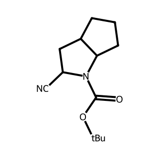 CC(C)(C)OC(=O)N1C(C#N)CC2CCCC21